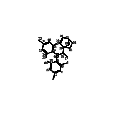 Cc1cc(C)c(B(c2c(C)cc(C)cc2C)C(C)C23C=CC(CC2)C3)c(C)c1